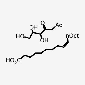 CC(=O)CC(=O)C(O)C(O)CO.CCCCCCCC/C=C\CCCCCCCC(=O)O